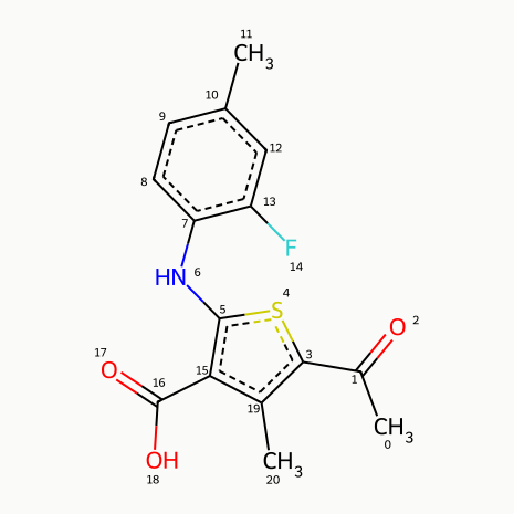 CC(=O)c1sc(Nc2ccc(C)cc2F)c(C(=O)O)c1C